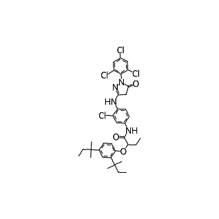 CCC(Oc1ccc(C(C)(C)CC)cc1C(C)(C)CC)C(=O)Nc1ccc(NC2=NN(c3c(Cl)cc(Cl)cc3Cl)C(=O)C2)c(Cl)c1